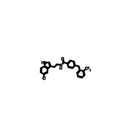 O=C(NCCc1c[nH]c2ccc(Cl)cc12)c1ccc(Cc2ccccc2C(F)(F)F)cc1